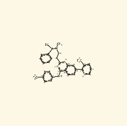 CCC(c1ccccc1)N(C)CCc1nc(Nc2ccc(C(F)(F)F)cc2)c2ccc(-c3ncccc3C(F)(F)F)cc2n1